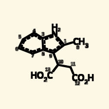 Cc1[nH]c2ccccc2c1C(CC(=O)O)C(=O)O